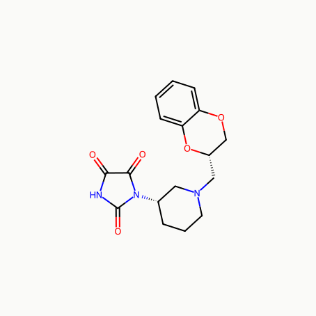 O=C1NC(=O)N([C@H]2CCCN(C[C@H]3COc4ccccc4O3)C2)C1=O